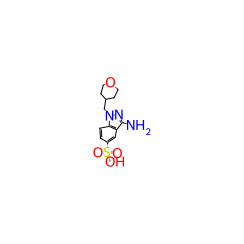 Nc1nn(CC2CCOCC2)c2ccc(S(=O)(=O)O)cc12